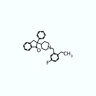 CCc1ccc(F)cc1CN1CCC(C2(c3ccccc3)Cc3ccccc3C2=O)CC1